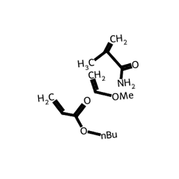 C=C(C)C(N)=O.C=CC(=O)OCCCC.C=COC